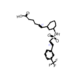 O=C(O)CCC/C=C/C1CCCC(NS(=O)(=O)/C=C/c2cccc(C(F)(F)F)c2)C1